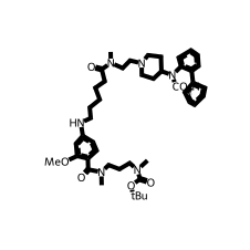 COc1cc(NCCCCCC(=O)N(C)CCN2CCC(N(C(=O)O)c3ccccc3-c3ccccc3)CC2)ccc1C(=O)N(C)CCCN(C)C(=O)OC(C)(C)C